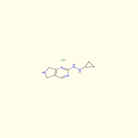 Cl.c1nc(NNC2CC2)nc2c1CNC2